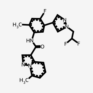 Cc1cc(F)c(-c2cnn(CC(F)F)c2)cc1NC(=O)c1cnn2c(C)cccc12